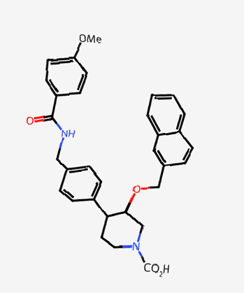 COc1ccc(C(=O)NCc2ccc(C3CCN(C(=O)O)CC3OCc3ccc4ccccc4c3)cc2)cc1